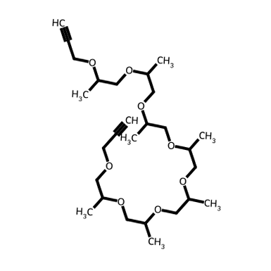 C#CCOCC(C)OCC(C)OCC(C)OCC(C)OCC(C)OCC(C)OCC(C)OCC#C